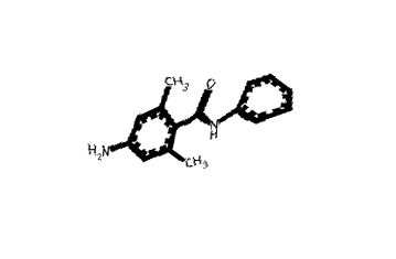 Cc1cc(N)cc(C)c1C(=O)Nc1ccccc1